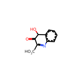 O=C(O)C1=Nc2ccccc2C(O)C1=O